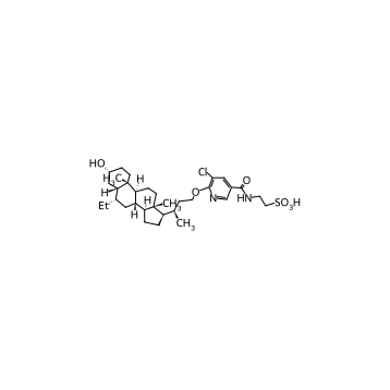 CC[C@H]1C[C@@H]2[C@H](CC[C@]3(C)[C@@H]([C@H](C)CCOc4ncc(C(=O)NCCS(=O)(=O)O)cc4Cl)CC[C@@H]23)[C@@]2(C)CC[C@@H](O)C[C@@H]12